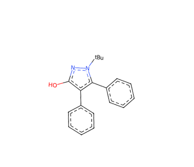 CC(C)(C)n1nc(O)c(-c2ccccc2)c1-c1ccccc1